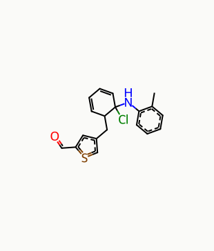 Cc1ccccc1NC1(Cl)C=CC=CC1Cc1csc(C=O)c1